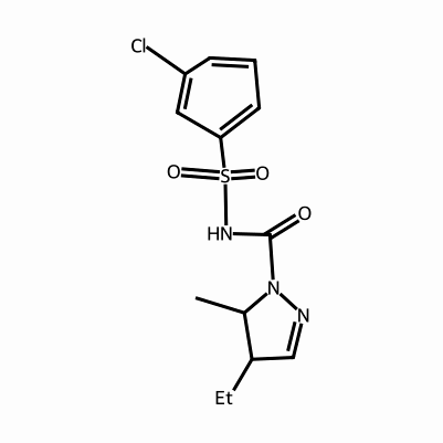 CCC1C=NN(C(=O)NS(=O)(=O)c2cccc(Cl)c2)C1C